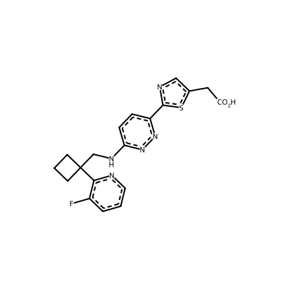 O=C(O)Cc1cnc(-c2ccc(NCC3(c4ncccc4F)CCC3)nn2)s1